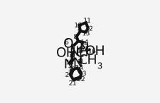 Cn1c(CNC(=O)C(CC2CCCC2)CN(O)C=O)nc2ccccc21